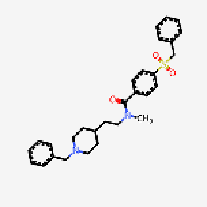 CN(CCC1CCN(Cc2ccccc2)CC1)C(=O)c1ccc(S(=O)(=O)Cc2ccccc2)cc1